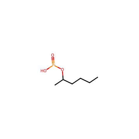 CCCCC(C)O[P](=O)O